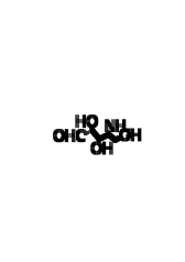 N[C@@H](CO)[C@@H](O)[C@@H](O)C=O